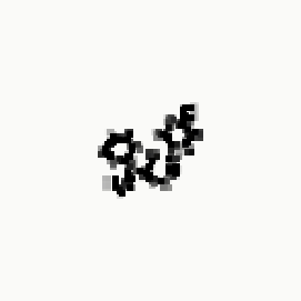 C[C@H](c1ccccc1)N1CCO[C@@H](c2ccc(Cl)cc2)C1